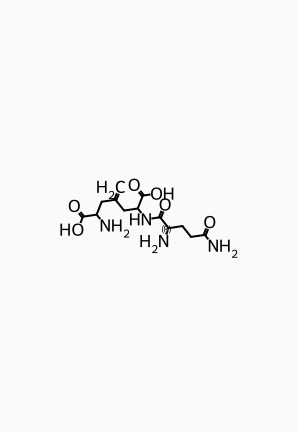 C=C(CC(N)C(=O)O)CC(NC(=O)[C@H](N)CCC(N)=O)C(=O)O